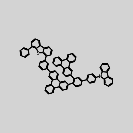 c1ccc(-c2cccc3c2sc2c(-c4cccc(-c5ccc6c(c5)c5ccccc5c5ccc(-c7ccc(-c8ccc(-n9c%10ccccc%10c%10ccccc%109)cc8)cc7-c7ccc8c9ccccc9c9ccccc9c8c7)cc56)c4)cccc23)cc1